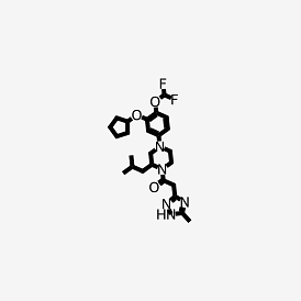 Cc1nc(CC(=O)N2CCN(c3ccc(OC(F)F)c(OC4CCCC4)c3)CC2CC(C)C)n[nH]1